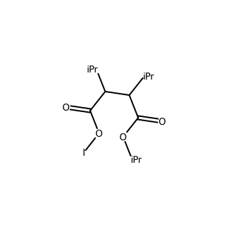 CC(C)OC(=O)C(C(C)C)C(C(=O)OI)C(C)C